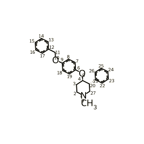 CN1CC[C@@H](Oc2ccc(OCc3ccccc3)cc2)[C@H](c2ccccc2)C1